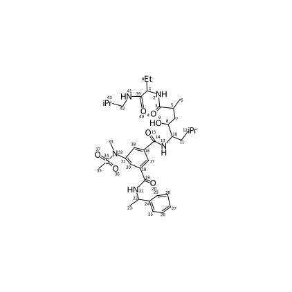 CCC(NC(=O)C(C)CC(O)C(CC(C)C)NC(=O)c1cc(C(=O)NC(C)c2ccccc2)cc(N(C)S(C)(=O)=O)c1)C(=O)NCC(C)C